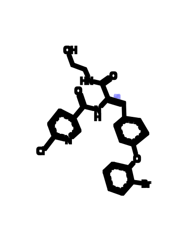 O=C(NCCO)/C(=C/c1ccc(Oc2ccccc2Br)cc1)NC(=O)c1ccc(Cl)nc1